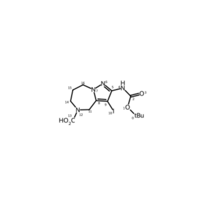 CC(C)(C)OC(=O)Nc1nn2c(c1I)CN(C(=O)O)CCC2